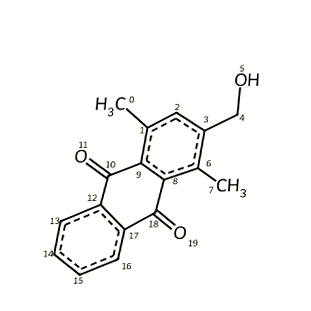 Cc1cc(CO)c(C)c2c1C(=O)c1ccccc1C2=O